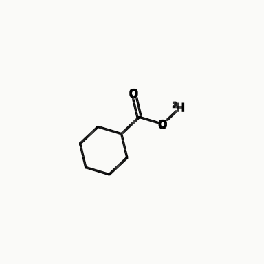 [2H]OC(=O)C1CCCCC1